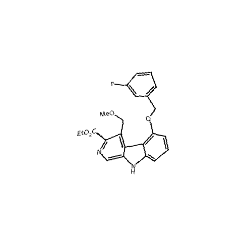 CCOC(=O)c1ncc2[nH]c3cccc(OCc4cccc(F)c4)c3c2c1COC